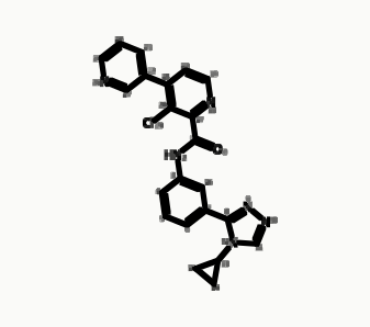 O=C(Nc1cccc(-c2nncn2C2CC2)c1)c1nccc(-c2cccnc2)c1Cl